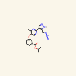 Cc1nc(-c2cnn(C)c2CN=[N+]=[N-])ncc1O[C@H]1CCC[C@H](C(=O)OC(C)C)C1